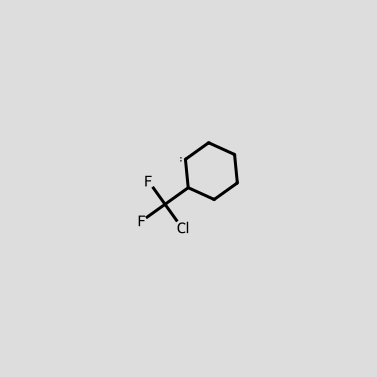 FC(F)(Cl)C1[C]CCCC1